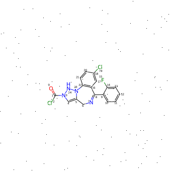 O=C(Cl)N1C=C2CN=C(c3ccccc3F)c3cc(Cl)ccc3N2N1